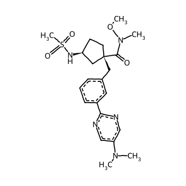 CON(C)C(=O)[C@@]1(Cc2cccc(-c3ncc(N(C)C)cn3)c2)CC[C@H](NS(C)(=O)=O)C1